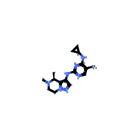 C[C@H]1c2c(Nc3ncc(C(F)(F)F)c(NC4CC4)n3)cnn2CCN1C